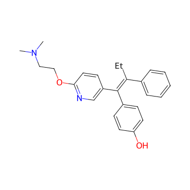 CCC(=C(c1ccc(O)cc1)c1ccc(OCCN(C)C)nc1)c1ccccc1